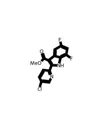 COC(=O)c1c(-c2ccc(Cl)cn2)[nH]c2c(F)cc(F)cc12